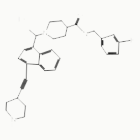 CC(c1ccc(C#CC2CCNCC2)c2ccccc12)N1CCC(C(=O)NCc2cccc(F)c2)CC1.Cl